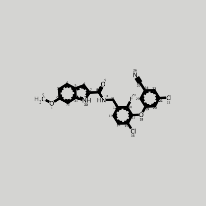 COc1ccc2cc(C(=O)NCc3ccc(Cl)c(Oc4cc(Cl)cc(C#N)c4)c3F)[nH]c2c1